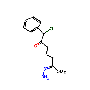 COC(CCCC(=O)C(Cl)c1ccccc1)=NN